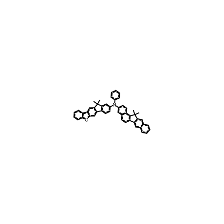 CC1(C)c2cc(N(c3ccccc3)c3ccc4c5c(ccc4c3)-c3cc4ccccc4cc3C5(C)C)ccc2-c2cc3oc4ccccc4c3cc21